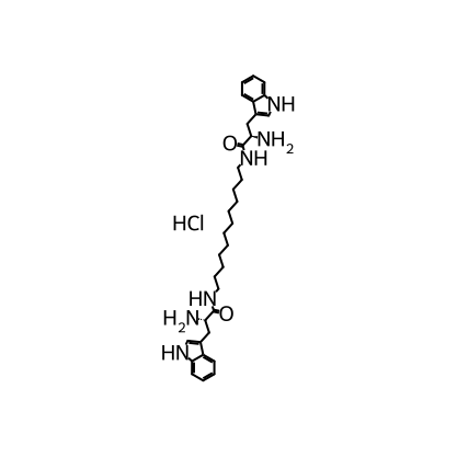 Cl.N[C@H](Cc1c[nH]c2ccccc12)C(=O)NCCCCCCCCCCCCNC(=O)[C@@H](N)Cc1c[nH]c2ccccc12